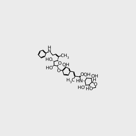 C/C(=C/CNc1ccccc1)[C@H]1O[C@@H](Oc2ccc(/C=C(\C)C(=O)N[C@@H]3[C@H](O)[C@@H](O)[C@H]4OCO[C@H]4[C@@H]3O)cc2O)[C@@H](O)[C@@H]1O